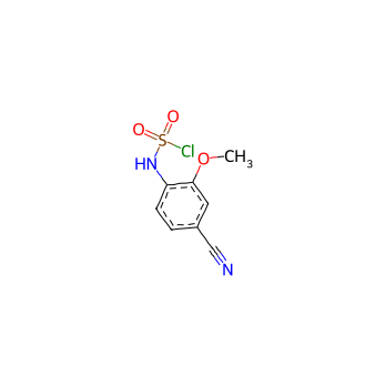 COc1cc(C#N)ccc1NS(=O)(=O)Cl